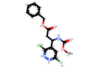 CC(C)(C)OC(=O)NC(CC(=O)OCc1ccccc1)c1cc(Cl)nnc1Cl